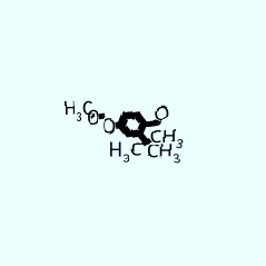 COCOc1ccc(C=O)c(C(C)(C)C)c1